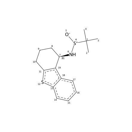 CC(C)(C)[S+]([O-])N[C@@H]1CCCc2sc3ccccc3c21